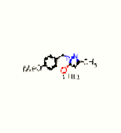 COc1ccc(Cn2nc(C)cc2OC=O)cc1